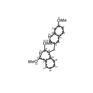 COc1ccc2cc(Cc3c(OC)nc(OC)c4ccccc34)cnc2c1